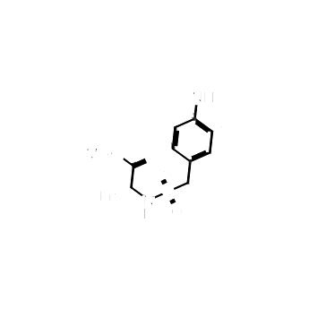 COC(=O)[C@H](NS(=O)(=O)Cc1ccc(N)cc1)C(C)C